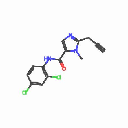 C#CCc1ncc(C(=O)Nc2ccc(Cl)cc2Cl)n1C